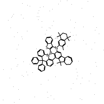 Cc1cc2c(cc1N1c3cc4c(c5c3B(c3sc6ccccc6c31)N1c3ccccc3C(c3ccccc3)(c3ccccc3)c3cccc-5c31)C(C)(C)C1=C4C=C=CCC1)C(C)(C)CCC2(C)C